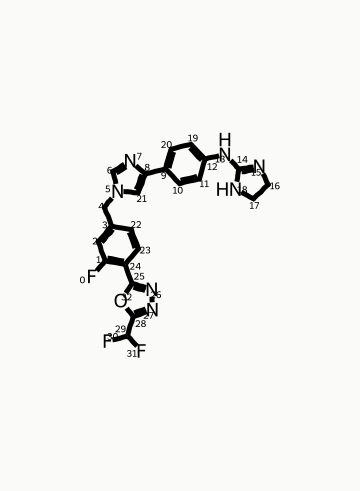 Fc1cc(Cn2cnc(-c3ccc(NC4=NCCN4)cc3)c2)ccc1-c1nnc(C(F)F)o1